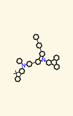 CC1(C)c2ccccc2-c2ccc(N(c3ccccc3)c3ccc(-c4ccc5c(c4)c4cc(-c6ccc(-c7ccccc7)cc6)ccc4n5-c4ccc5c6ccccc6c6ccccc6c5c4)cc3)cc21